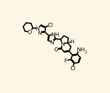 Nc1ccc(Cl)c(F)c1C1=CC(=O)N2C(c3ncc(-c4nn(C5CCCCO5)cc4Cl)[nH]3)CC[C@@H]2C1